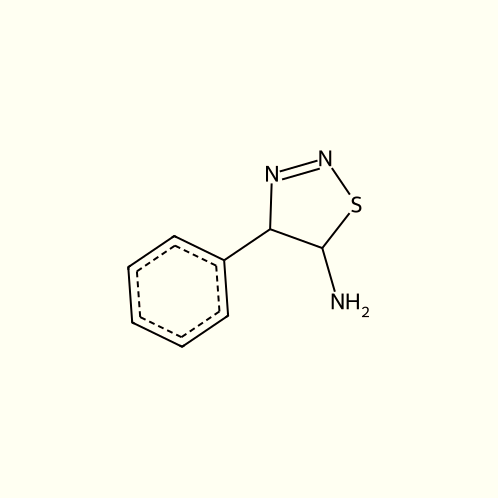 NC1SN=NC1c1ccccc1